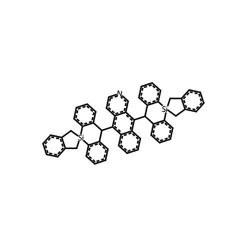 c1ccc2c(c1)C[Si]1(C2)c2ccccc2C(c2c3ccccc3c(C3c4ccccc4[Si]4(Cc5ccccc5C4)c4ccccc43)c3cnccc23)c2ccccc21